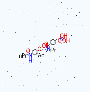 CCCC(=O)Nc1ccc(OCC(O)CN(C(=O)c2ccc(CON(O)O)cc2)C(C)C)c(C(C)=O)c1